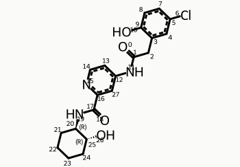 O=C(Cc1cc(Cl)ccc1O)Nc1ccnc(C(=O)N[C@@H]2CCCC[C@H]2O)c1